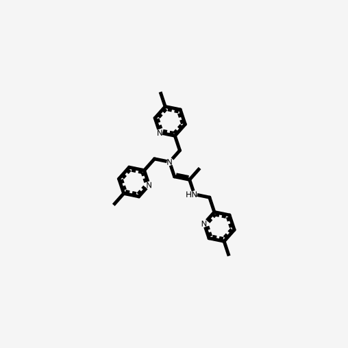 CC(=CN(Cc1ccc(C)cn1)Cc1ccc(C)cn1)NCc1ccc(C)cn1